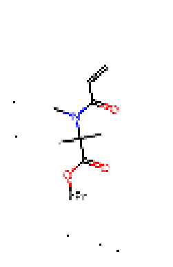 C=CC(=O)N(C)C(C)(C)C(=O)OCCC